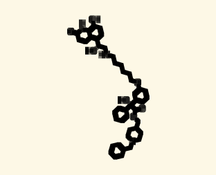 O=C(OCC1CCN(Cc2ccccc2)CC1)[C@@](O)(c1ccccc1)c1cccc(OCCCCCCNC[C@H](O)c2ccc(O)c3[nH]c(=O)ccc23)c1